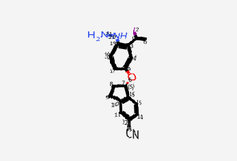 C=C(I)c1cc(O[C@H]2CCc3cc(C#N)ccc32)ccc1NN